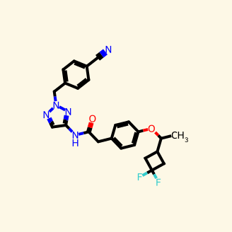 CC(Oc1ccc(CC(=O)Nc2cnn(Cc3ccc(C#N)cc3)n2)cc1)C1CC(F)(F)C1